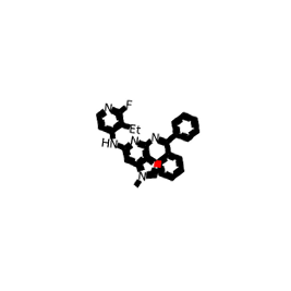 CCc1c(Nc2cc3c(ncn3C)c(N=C(c3ccccc3)c3ccccc3)n2)ccnc1F